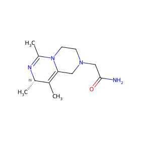 CC1=N[C@@H](C)C(C)=C2CN(CC(N)=O)CCN12